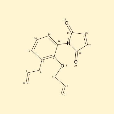 C=CCOc1c(CC=C)cccc1N1C(=O)C=CC1=O